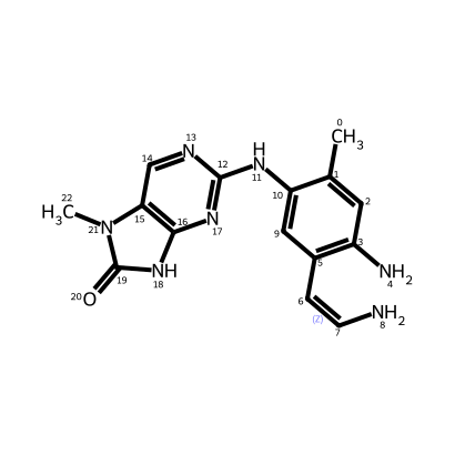 Cc1cc(N)c(/C=C\N)cc1Nc1ncc2c(n1)[nH]c(=O)n2C